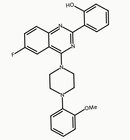 COc1ccccc1N1CCN(c2nc(-c3ccccc3O)nc3ccc(F)cc23)CC1